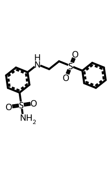 NS(=O)(=O)c1cccc(NCCS(=O)(=O)c2ccccc2)c1